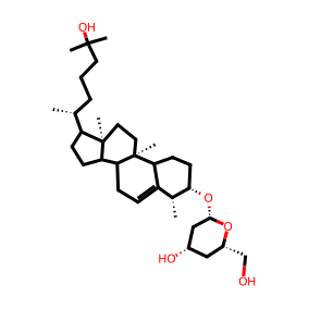 C[C@H](CCCC(C)(C)O)C1CCC2C3CC=C4C(CC[C@H](O[C@H]5C[C@@H](O)C[C@@H](CO)O5)[C@@H]4C)[C@]3(C)CC[C@@]21C